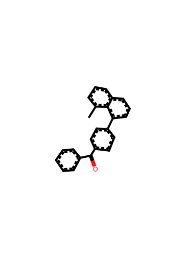 Cc1cccc2cccc(-c3ccc(C(=O)c4ccccc4)cc3)c12